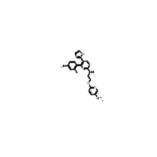 Cc1cc(Cl)ccc1-c1nc(NCCNc2ccc([N+](=O)[O-])cn2)ncc1-c1ncc[nH]1